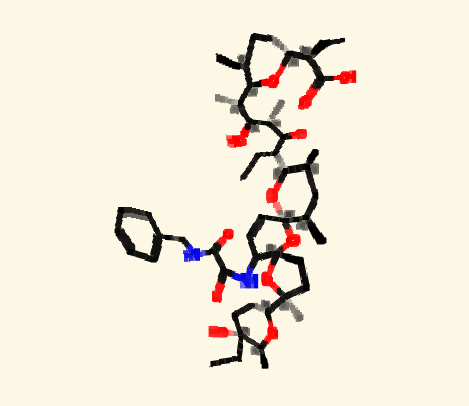 CCC(C(=O)[C@@H](C)[C@@H](O)[C@H](C)[C@@H]1O[C@@H]([C@@H](CC)C(=O)O)CC[C@@H]1C)[C@H]1O[C@]2(C=CC(NC(=O)C(=O)NCc3ccccc3)[C@]3(CC[C@@](C)([C@H]4CC[C@](O)(CC)[C@H](C)O4)O3)O2)[C@H](C)C[C@@H]1C